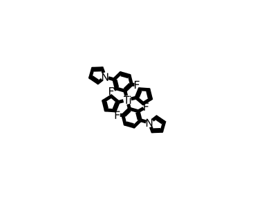 Fc1ccc(-n2cccc2)c(F)[c]1[Ti]([C]1=CC=CC1)([C]1=CC=CC1)[c]1c(F)ccc(-n2cccc2)c1F